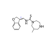 CC1CNCCN(C(=S)N/C=C2/COc3ccccc32)C1